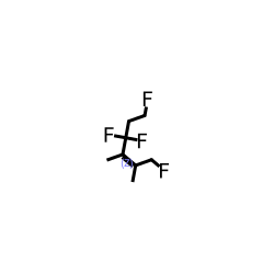 C/C(CF)=C(\C)C(F)(F)CCF